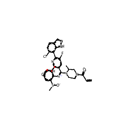 C=CC(=O)N1CCN(/C(=N/c2c(C(C)C)cccc2[S+](C)[O-])c2cc(F)c(-c3c(Cl)ccc4cn[nH]c34)nc2NC=O)C(C)C1